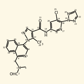 CN(C=O)Cc1ncc(-n2ncc(C(=O)Nc3cnc(-n4nccn4)c(Cl)c3)c2C(F)(F)F)c2ccccc12